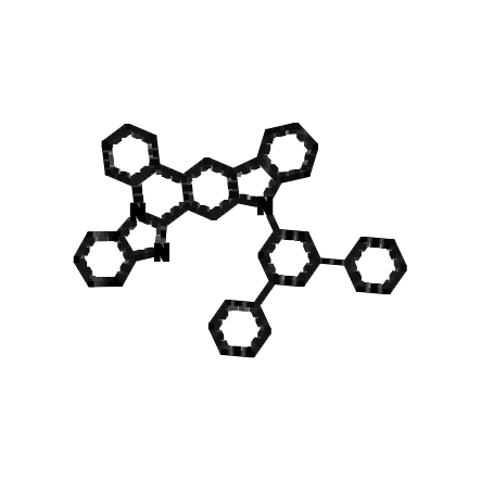 c1ccc(-c2cc(-c3ccccc3)cc(-n3c4ccccc4c4cc5c6ccccc6n6c7ccccc7nc6c5cc43)c2)cc1